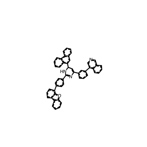 C1=C(c2cccc(-c3cncc4ccccc34)c2)N=C(c2ccc(-c3cccc4c3oc3ccccc34)cc2)NC1c1cc2ccccc2c2ccccc12